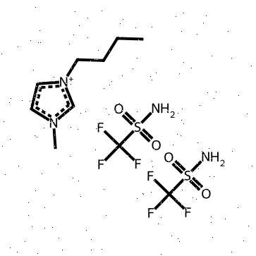 CCCC[n+]1ccn(C)c1.NS(=O)(=O)C(F)(F)F.NS(=O)(=O)C(F)(F)F